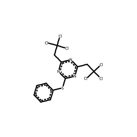 ClC(Cl)(Cl)Cc1nc(CC(Cl)(Cl)Cl)nc(Sc2ccccc2)n1